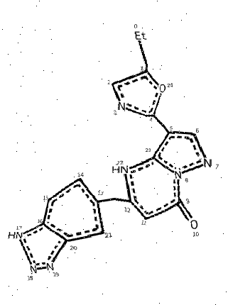 CCc1cnc(-c2cnn3c(=O)cc(-c4ccc5[nH]nnc5c4)[nH]c23)o1